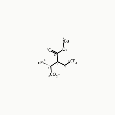 CCC[C@@H](C(=O)O)C(CC(F)(F)F)C(=O)OC(C)(C)C